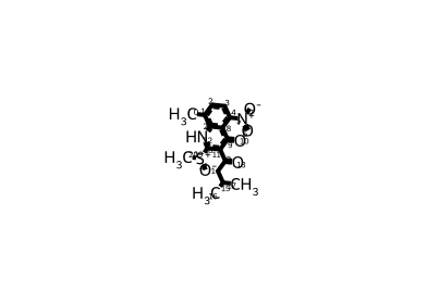 Cc1ccc([N+](=O)[O-])c2c(=O)c(C(=O)CC(C)C)c([S+](C)[O-])[nH]c12